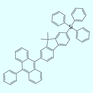 CC1(C)c2cc(-c3c4ccccc4c(-c4ccccc4)c4ccccc34)ccc2-c2ccc([Si](c3ccccc3)(c3ccccc3)c3ccccc3)cc21